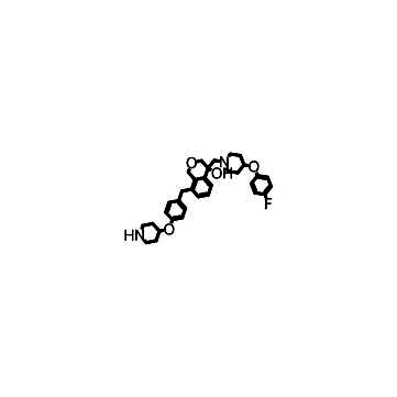 OC1(CN2CCC(Oc3ccc(F)cc3)CC2)COCc2c(Cc3ccc(OC4CCNCC4)cc3)cccc21